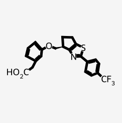 O=C(O)Cc1cccc(OC[C@H]2CCc3sc(-c4ccc(C(F)(F)F)cc4)nc32)c1